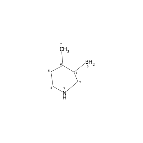 BC1CNCCC1C